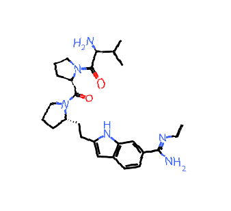 CCN=C(N)c1ccc2cc(CC[C@@H]3CCCN3C(=O)[C@H]3CCCN3C(=O)[C@@H](N)C(C)C)[nH]c2c1